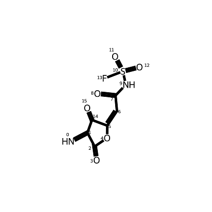 N=C1C(=O)O/C(=C/C(=O)NS(=O)(=O)F)C1=O